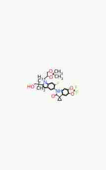 CC1(C)OCC(Cn2c(C(C)(C)CO)cc3cc(NC(=O)C4(c5ccc6c(c5)OC(F)(F)O6)CC4)c(F)cc32)O1